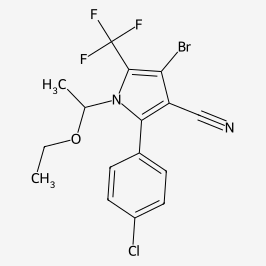 CCOC(C)n1c(-c2ccc(Cl)cc2)c(C#N)c(Br)c1C(F)(F)F